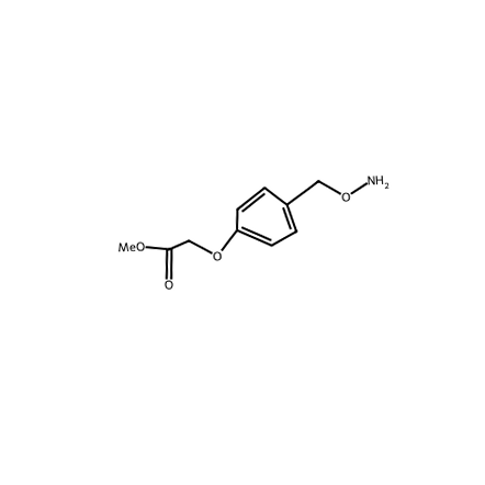 COC(=O)COc1ccc(CON)cc1